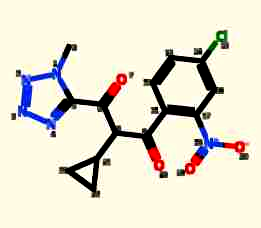 Cn1nnnc1C(=O)C(C(=O)c1ccc(Cl)cc1[N+](=O)[O-])C1CC1